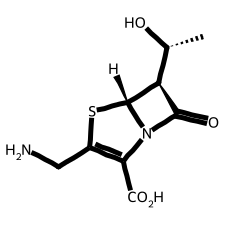 C[C@@H](O)[C@H]1C(=O)N2C(C(=O)O)=C(CN)S[C@H]12